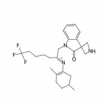 CC1=C(/N=C(\CCCCC(F)(F)F)CN2C(=O)C3(CNC3)c3ccccc32)CC(C)CC1